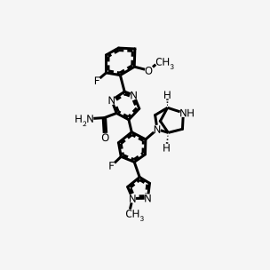 COc1cccc(F)c1-c1ncc(-c2cc(F)c(-c3cnn(C)c3)cc2N2C[C@@H]3C[C@H]2CN3)c(C(N)=O)n1